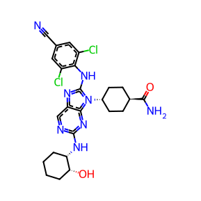 N#Cc1cc(Cl)c(Nc2nc3cnc(N[C@H]4CCCC[C@H]4O)nc3n2[C@H]2CC[C@H](C(N)=O)CC2)c(Cl)c1